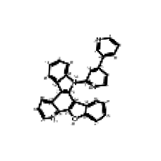 c1cncc(-c2ccnc(-n3c4ccccc4c4c5cccnc5c5oc6ccccc6c5c43)c2)c1